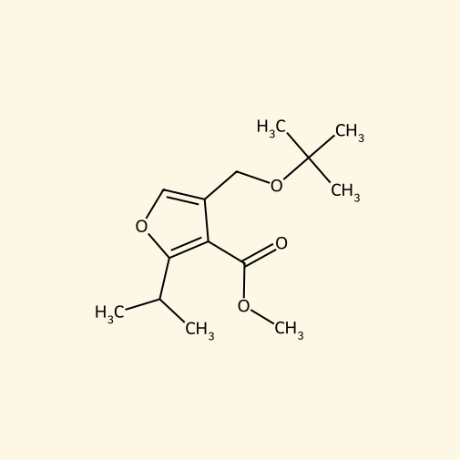 COC(=O)c1c(COC(C)(C)C)coc1C(C)C